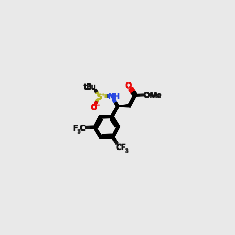 COC(=O)C[C@H](N[S+]([O-])C(C)(C)C)c1cc(C(F)(F)F)cc(C(F)(F)F)c1